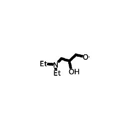 CCN(CC)CC(O)C[O]